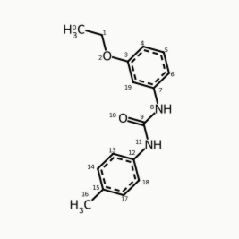 CCOc1cccc(NC(=O)Nc2ccc(C)cc2)c1